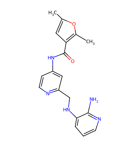 Cc1cc(C(=O)Nc2ccnc(CNc3cccnc3N)c2)c(C)o1